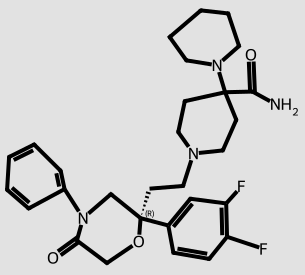 NC(=O)C1(N2CCCCC2)CCN(CC[C@@]2(c3ccc(F)c(F)c3)CN(c3ccccc3)C(=O)CO2)CC1